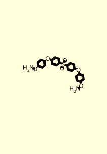 NOc1ccc(Oc2ccc(S(=O)(=O)c3ccc(Oc4ccc(ON)cc4)cc3)cc2)cc1